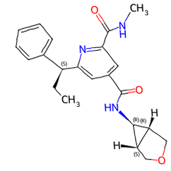 CC[C@@H](c1ccccc1)c1cc(C(=O)N[C@H]2[C@@H]3COC[C@@H]32)cc(C(=O)NC)n1